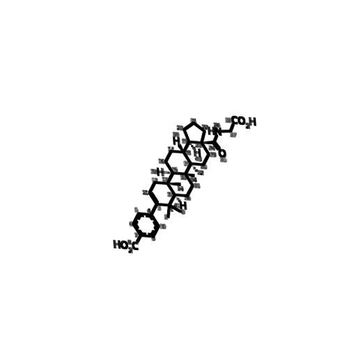 CC1(C)C(c2ccc(C(=O)O)cc2)=CC[C@]2(C)[C@H]3CC[C@@H]4[C@H]5CCC[C@]5(C(=O)NCC(=O)O)CC[C@@]4(C)[C@]3(C)CC[C@@H]12